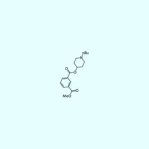 CCCCN1CCC(OC(=O)c2cccc(C(=O)OC)c2)CC1